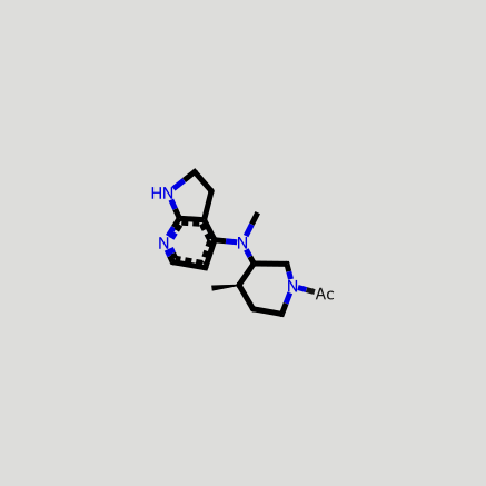 CC(=O)N1CC[C@@H](C)C(N(C)c2ccnc3c2CCN3)C1